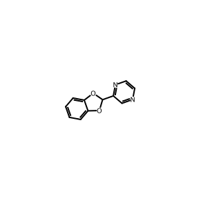 c1ccc2c(c1)OC(c1cnccn1)O2